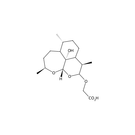 C[C@H]1C(OCC(=O)O)O[C@@H]2O[C@@H](C)CCC3[C@H](C)CCC1[C@]32O